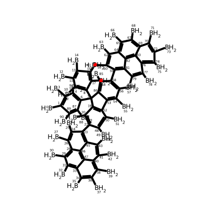 Bc1c(B)c(B)c(C2(c3c(B)c(B)c(B)c(B)c3B)c3c(B)c(-c4c(B)c(B)c5c(B)c(B)c6c(B)c(B)c(B)c7c(B)c(B)c4c5c67)c(B)c(B)c3-c3c(B)c(B)c(-c4c(B)c(B)c5c(B)c(B)c6c(B)c(B)c(B)c7c(B)c(B)c4c5c67)c(B)c32)c(B)c1B